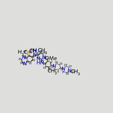 COc1cc(N2CCC(N3CCN(C)CC3)CC2)c(C)cc1Nc1ncc(C)c(Nc2ccc3nccnc3c2P(C)C)n1